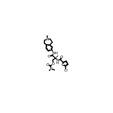 CN1CCc2ccc(NC(=O)[C@@](C)(COC(=O)N(C)C)NC(=O)c3ccc(Cl)s3)cc2CC1